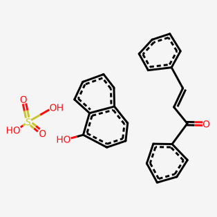 O=C(C=Cc1ccccc1)c1ccccc1.O=S(=O)(O)O.Oc1cccc2ccccc12